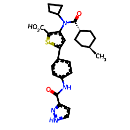 C[C@H]1CC[C@H](C(=O)N(c2cc(-c3ccc(NC(=O)c4cc[nH]n4)cc3)sc2C(=O)O)C2CCC2)CC1